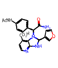 CC(=O)Nc1ccc(C(C(N)=O)N2c3c(C(=O)O)ccnc3NC2c2ccoc2)cc1